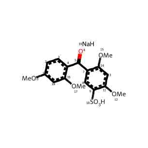 COc1ccc(C(=O)c2cc(S(=O)(=O)O)c(OC)cc2OC)c(OC)c1.[NaH]